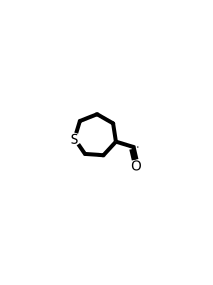 O=[C]C1CCCSCC1